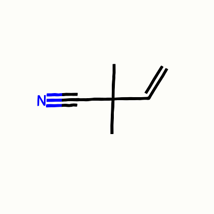 C=CC(C)(C)C#N